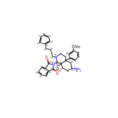 COc1cccc(C23CCN(CCCc4ccccc4)C(N4C(=O)c5ccccc5C4=O)C2(C)CCC(N)C3)c1